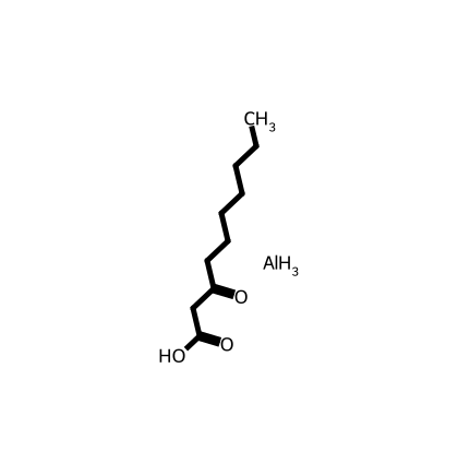 CCCCCCCC(=O)CC(=O)O.[AlH3]